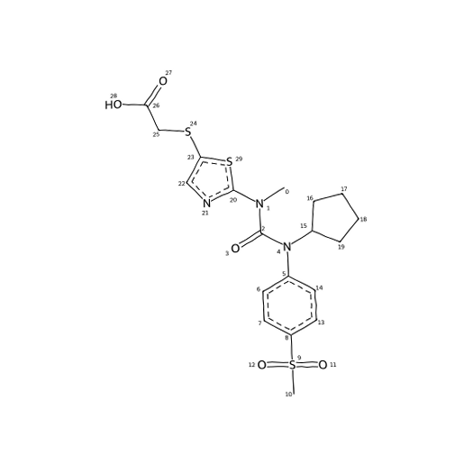 CN(C(=O)N(c1ccc(S(C)(=O)=O)cc1)C1CCCC1)c1ncc(SCC(=O)O)s1